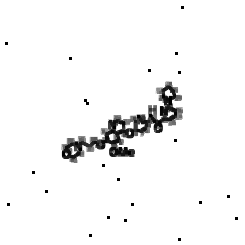 COc1cc2c(Oc3ccc(NC(=O)c4cccc(N5CCCCC5)n4)nc3)ccnc2cc1OCCCN1CCOCC1